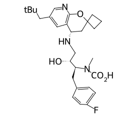 CN(C(=O)O)[C@@H](Cc1ccc(F)cc1)[C@H](O)CN[C@H]1CC2(CCC2)Oc2ncc(CC(C)(C)C)cc21